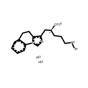 CC(C)NCCC[C@@H](Cc1ncn2c1CCc1ccccc1-2)C(=O)O.Cl.Cl